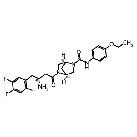 CCOc1ccc(NC(=O)N2C[C@@H]3C[C@H]2CN3C(=O)C[C@H](N)Cc2cc(F)c(F)cc2F)cc1